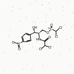 O=C(N[C@H](CO[14C](=O)C(Cl)Cl)[C@H](O)c1ccc([N+](=O)[O-])cc1)C(Cl)Cl